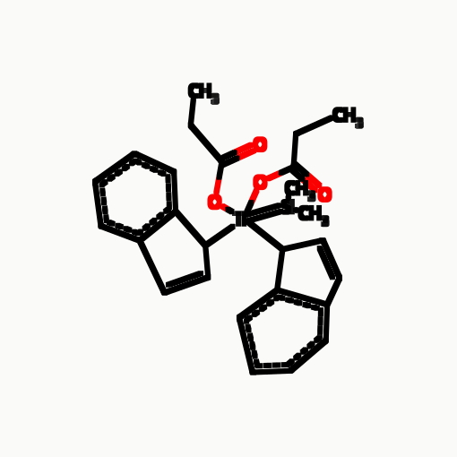 CCC(=O)[O][Ti]([O]C(=O)CC)([CH]1C=Cc2ccccc21)([CH]1C=Cc2ccccc21)=[Si](C)C